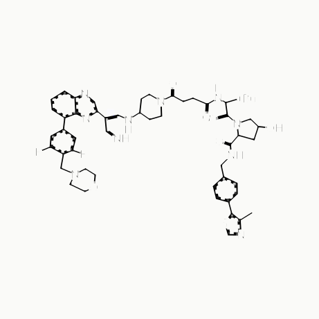 Cc1ncsc1-c1ccc(CNC(=O)C2CC(O)CN2C(=O)C(NC(=O)CCC(=O)N2CCC(N/C=C(\C=N)c3cnc4cccc(-c5cc(F)c(CN6CCOCC6)c(F)c5)c4n3)CC2)C(C)(C)C)cc1